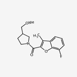 COCC1CCN(C(=O)c2oc3c(F)cccc3c2C)C1